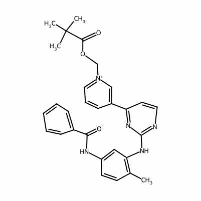 Cc1ccc(NC(=O)c2ccccc2)cc1Nc1nccc(-c2ccc[n+](COC(=O)C(C)(C)C)c2)n1